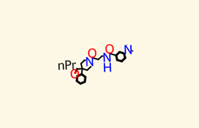 CCCC(=O)C1(c2ccccc2)CCN(C(=O)CCNC(=O)c2cccc(N(C)C)c2)CC1